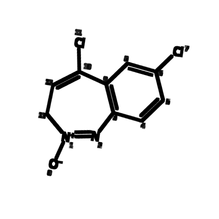 [O-][N+]1=Nc2ccc(Cl)cc2C(Cl)=CC1